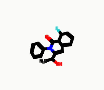 CC(O)C1=CC2=CC=CC(F)C2C(=O)N1c1ccccc1